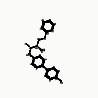 C[C@@H](Oc1ccc(-c2ccc(F)cc2)cc1)[C@@H](O)CCc1cccnc1